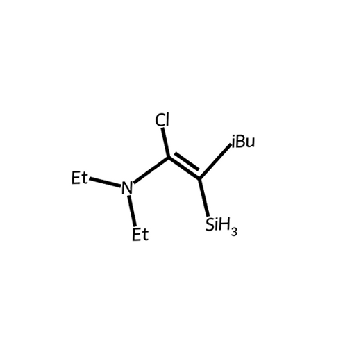 CCC(C)C([SiH3])=C(Cl)N(CC)CC